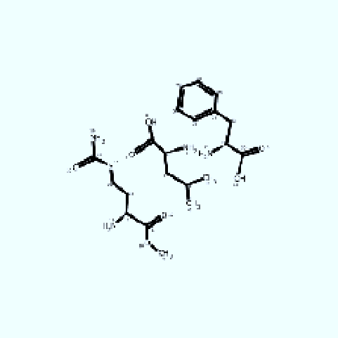 CC(C)C[C@H](N)C(=O)O.COC(=O)[C@@H](N)CCSC(N)=O.N[C@@H](Cc1ccccc1)C(=O)O